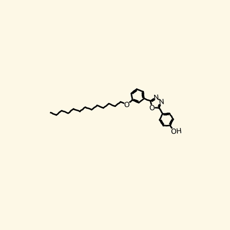 CCCCCCCCCCCCCOc1cccc(-c2nnc(-c3ccc(O)cc3)o2)c1